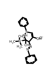 CC1([N+](C)(C)C)NN(c2ccccc2)C=C(O)C1N=Nc1ccccc1.[Cl-]